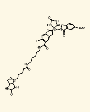 COc1ccc2c(c1)C(=O)N(C[C@@]1(c3cc4cc(C(=O)NCCCCCNC(=O)CCCC[C@@H]5SCC6NC(=O)NC65)c(F)cc4o3)NC(=O)NC1=O)C2